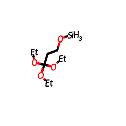 CCOC(CCO[SiH3])(OCC)OCC